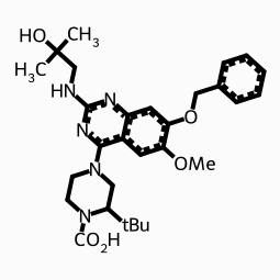 COc1cc2c(N3CCN(C(=O)O)C(C(C)(C)C)C3)nc(NCC(C)(C)O)nc2cc1OCc1ccccc1